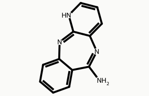 NC1=NC2=CC=CNC2=Nc2ccccc21